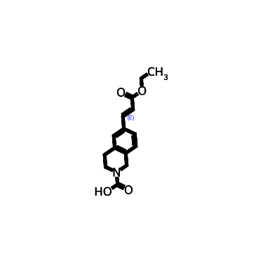 CCOC(=O)/C=C/c1ccc2c(c1)CCN(C(=O)O)C2